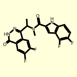 CC(c1n[nH]c(=O)c2cc(F)c(F)cc12)N(C)C(=O)c1cc2c(F)c(F)ccc2[nH]1